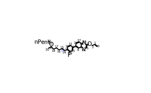 C=CCOc1cnc2cc(-c3ccc(/C=C/CCCC(C)OCCCCC)c(F)c3)ccc2n1